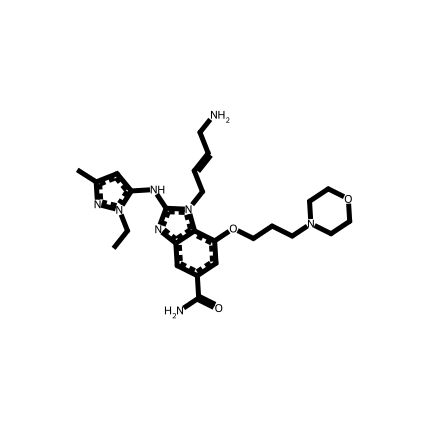 CCn1nc(C)cc1Nc1nc2cc(C(N)=O)cc(OCCCN3CCOCC3)c2n1C/C=C/CN